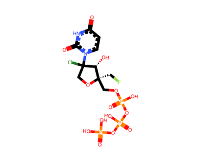 O=c1ccn(C2(Cl)CO[C@](CF)(COP(=O)(O)OP(=O)(O)OP(=O)(O)O)[C@H]2O)c(=O)[nH]1